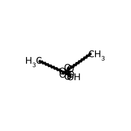 CCCCCCCCCCCCCCCCOC(=O)c1cc(C(=O)OCCCCCCCCCCCCCCCC)cc(S(=O)(=O)O)c1